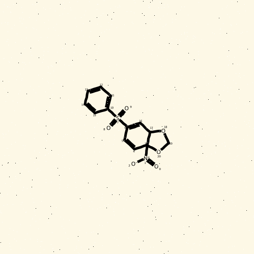 O=[N+]([O-])C12C=CC(S(=O)(=O)c3ccccc3)=CC1OCO2